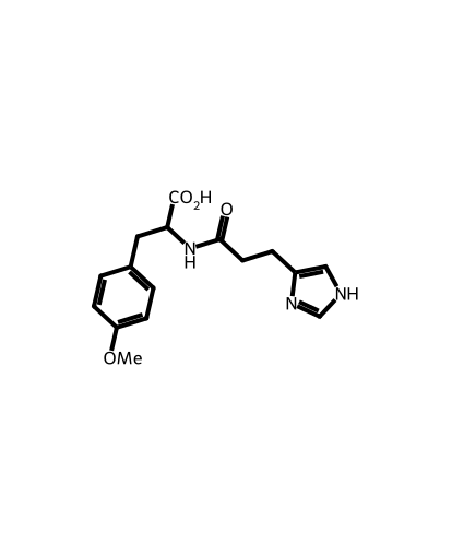 COc1ccc(CC(NC(=O)CCc2c[nH]cn2)C(=O)O)cc1